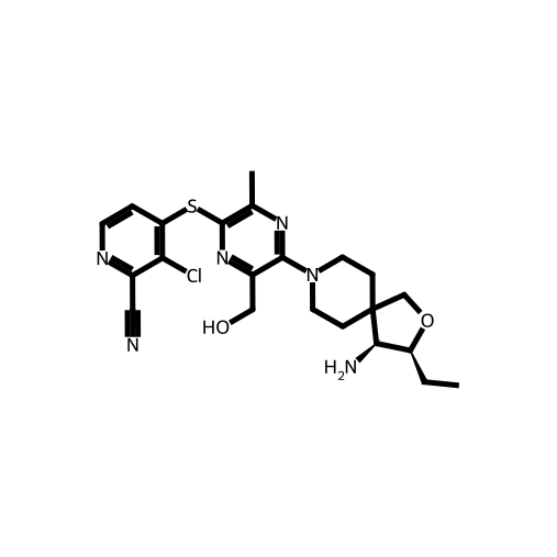 CC[C@@H]1OCC2(CCN(c3nc(C)c(Sc4ccnc(C#N)c4Cl)nc3CO)CC2)[C@@H]1N